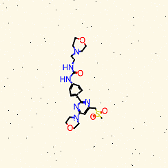 CS(=O)(=O)Cc1cc(N2CCOCC2)nc(-c2ccc(NC(=O)NCCN3CCOCC3)cc2)n1